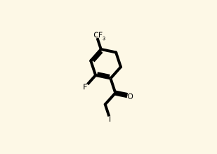 O=C(CI)C1=C(F)C=C(C(F)(F)F)CC1